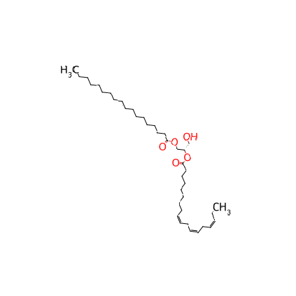 CC/C=C\C/C=C\C/C=C\CCCCCCCC(=O)O[C@@H](CO)COC(=O)CCCCCCCCCCCCCCCCC